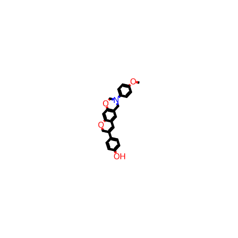 COc1ccc(N2COc3cc4c(cc3C2)C=C(c2ccc(O)cc2)CO4)cc1